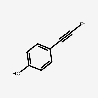 CCC#Cc1ccc(O)cc1